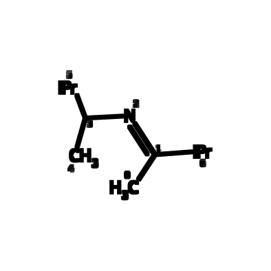 CC(=NC(C)C(C)C)C(C)C